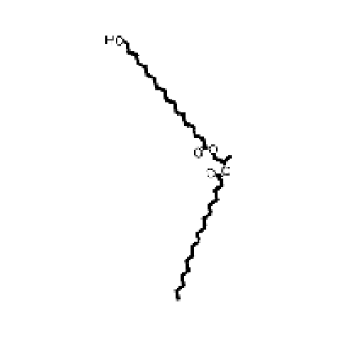 CCCCCCCCCCCCCCCCCC(=O)OC(C)COC(=O)CCCCCCCCCCCCCCCCCO